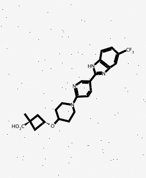 C[C@]1(C(=O)O)C[C@H](OC2CCN(c3ccc(-c4nc5cc(C(F)(F)F)ccc5[nH]4)cn3)CC2)C1